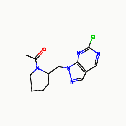 CC(=O)N1CCCCC1Cn1ncc2cnc(Cl)nc21